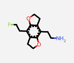 NCCc1c2c(c(CCF)c3c1OCC3)OCC2